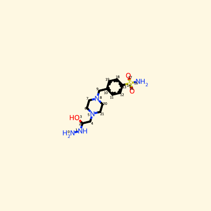 NNC(O)CN1CCN(Cc2ccc(S(N)(=O)=O)cc2)CC1